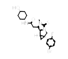 Cn1c(CC(=O)N[C@H]2CC[C@H](O)CC2)c2n(c1=S)C[C@@]1(c3cc(Br)ccc3F)C[C@@H]21